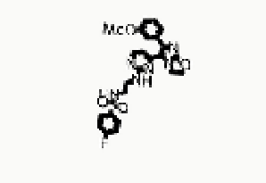 COc1cccc(-c2nc3occn3c2-c2ccnc(NCCNS(=O)(=O)c3ccc(F)cc3)n2)c1